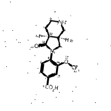 O=C(O)c1ccc(N2C[C@@H]3CNCC[C@]3(F)C2=O)c(OC(F)(F)F)c1